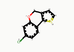 Clc1ccc2c(c1)OCc1ccsc1-2